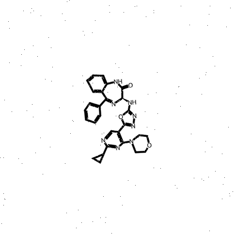 O=C1Nc2ccccc2C(c2ccccc2)=N[C@@H]1Nc1nnc(-c2cnc(C3CC3)nc2N2CCOCC2)o1